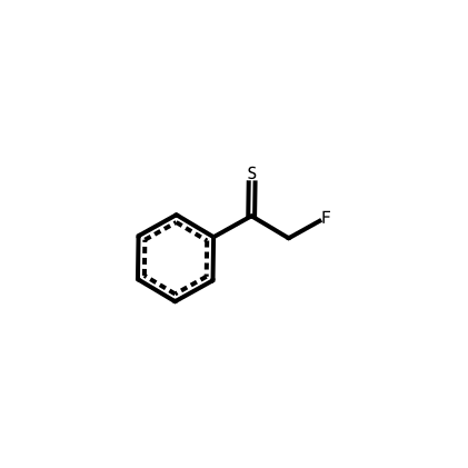 FCC(=S)c1ccccc1